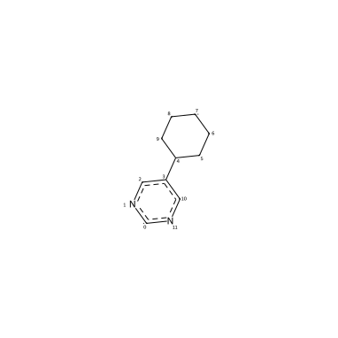 [c]1ncc(C2CC[CH]CC2)cn1